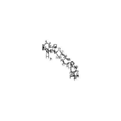 Nc1ncccc1C(=O)NC1CCC(=Cc2cccc(Oc3ccc(C(F)(F)F)cn3)c2)CC1